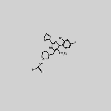 CCOC(=O)C1=C(CN2CCO[C@@H](COC(=O)C(C)C)C2)NC(C2=NCC=N2)=NC1c1ccc(F)cc1Br